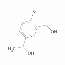 CC(O)c1ccc(Br)c(CO)c1